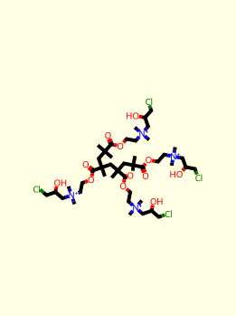 CC(C)(CC(C)(CC(C)(CC(C)(C)C(=O)OCC[N+](C)(C)CC(O)CCl)C(=O)OCC[N+](C)(C)CC(O)CCl)C(=O)OCC[N+](C)(C)CC(O)CCl)C(=O)OCC[N+](C)(C)CC(O)CCl